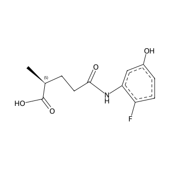 C[C@@H](CCC(=O)Nc1cc(O)ccc1F)C(=O)O